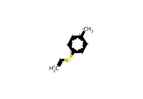 C=CSc1ccc(C)cc1